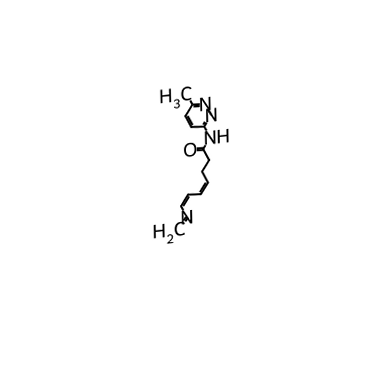 C=N/C=C\C=C/CCC(=O)Nc1ccc(C)nn1